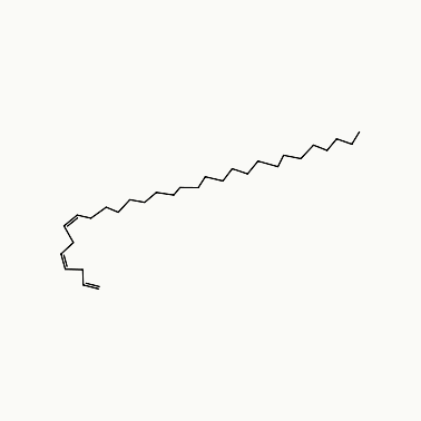 C=CC/C=C\C/C=C\CCCCCCCCCCCCCCCCCCCCCC